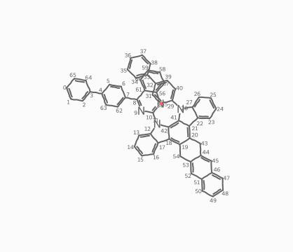 c1ccc(-c2ccc(-c3nc(-n4c5ccccc5c5c6c(c7c8ccccc8n(-c8ccc(-c9ccccc9)cc8)c7c54)Cc4cc5ccccc5cc4C6)nc4ccccc34)cc2)cc1